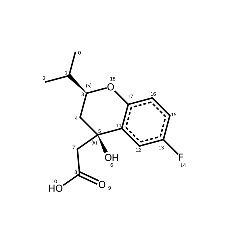 CC(C)[C@@H]1C[C@@](O)(CC(=O)O)c2cc(F)ccc2O1